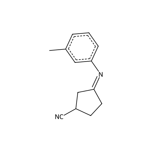 Cc1cccc(N=C2CCC(C#N)C2)c1